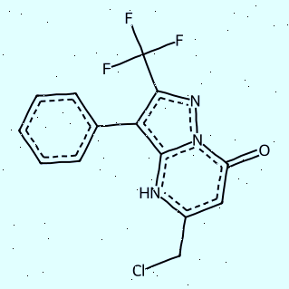 O=c1cc(CCl)[nH]c2c(-c3ccccc3)c(C(F)(F)F)nn12